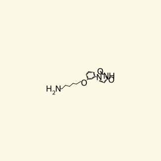 NCCCCCCOc1cccc(-n2ccc(=O)[nH]c2=O)c1